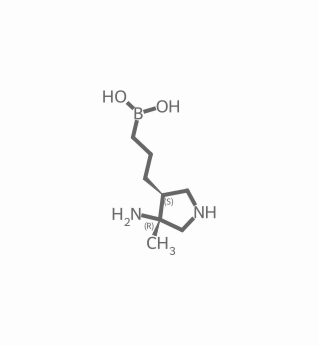 C[C@]1(N)CNC[C@@H]1CCCB(O)O